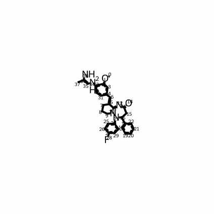 COc1cc(/C=C2\CCCN3C2=NC(=O)CC(c2ccccc2)N3c2ccc(F)cc2)ccc1N/C=C(/C)N